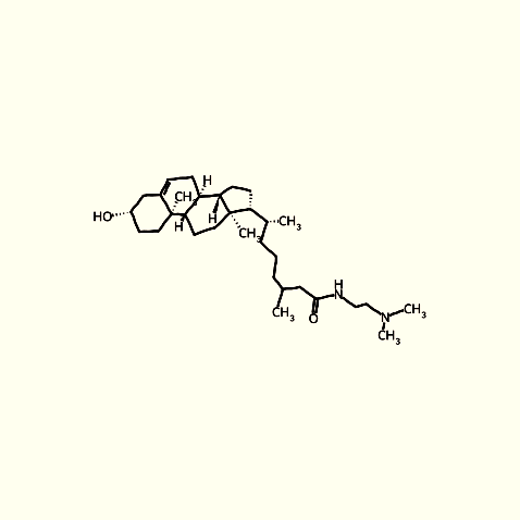 CC(CCC[C@@H](C)[C@H]1CC[C@H]2[C@@H]3CC=C4C[C@@H](O)CC[C@]4(C)[C@H]3CC[C@]12C)CC(=O)NCCN(C)C